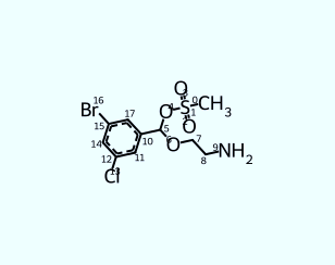 CS(=O)(=O)OC(OCCN)c1cc(Cl)cc(Br)c1